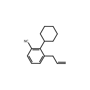 C=CCc1cccc(C#N)c1C1CCCCC1